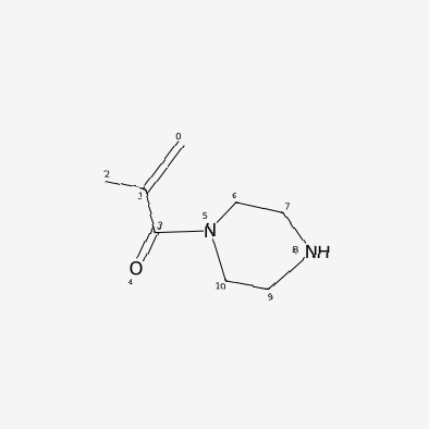 C=C(C)C(=O)N1CCNCC1